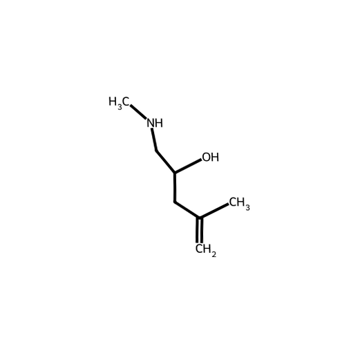 C=C(C)CC(O)CNC